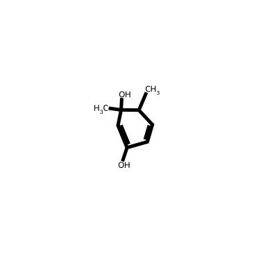 CC1C=CC(O)=CC1(C)O